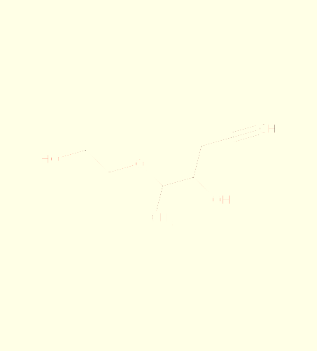 C#CCC(O)C(C)OCCO